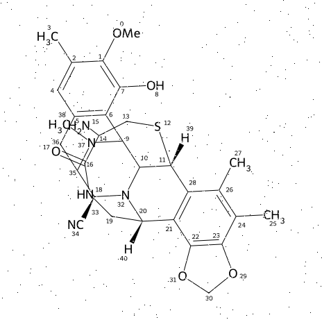 COc1c(C)cc2c(c1O)C1C3[C@@H]4SCC(N)C(=O)NC[C@@H](c5c6c(c(C)c(C)c54)OCO6)N3[C@@H](C#N)C(C2)N1C